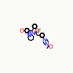 COc1ccc(C(NC(=O)Cc2cc(N3CCN(C(C)=O)CC3)ccc2F)c2ccccc2)c(N2CCCCCC2)c1